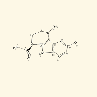 CN1CC[C@H](C(N)=O)c2[nH]c3ccc(Cl)cc3c21